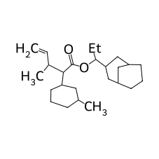 C=CC(C)C(C(=O)OC(CC)C1CC2CCCC(C2)C1)C1CCCC(C)C1